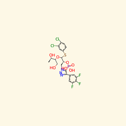 C[C@@H](O)C(CO)OC(Sc1ccc(Cl)c(Cl)c1)[C@H](Cn1cc(-c2cc(F)c(F)c(F)c2)nn1)OP(=O)(O)O